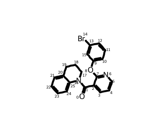 O=C(c1cccnc1Oc1cccc(Br)c1)N1CCCc2ccccc21